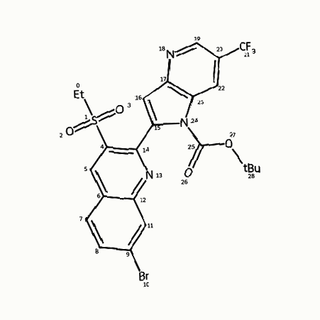 CCS(=O)(=O)c1cc2ccc(Br)cc2nc1-c1cc2ncc(C(F)(F)F)cc2n1C(=O)OC(C)(C)C